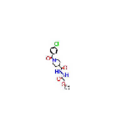 CCOCC(=O)NNC(=O)C1CCN(C(=O)c2ccc(Cl)cc2)CC1